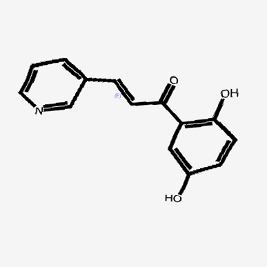 O=C(/C=C/c1cccnc1)c1cc(O)ccc1O